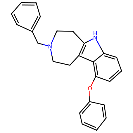 c1ccc(CN2CCc3[nH]c4cccc(Oc5ccccc5)c4c3CC2)cc1